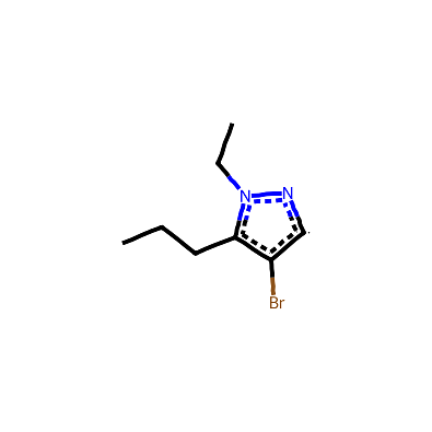 CCCc1c(Br)[c]nn1CC